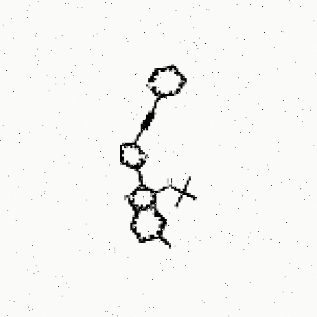 CC(C)(C)Nc1c(-c2ccc(C#Cc3ccccn3)s2)nc2ccc(Cl)cn12